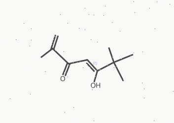 C=C(C)C(=O)/C=C(\O)C(C)(C)C